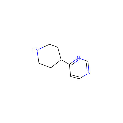 c1cc(C2CCNCC2)ncn1